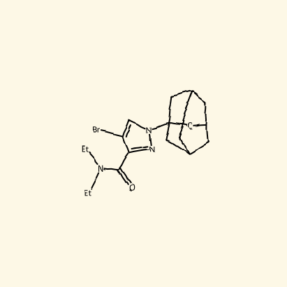 CCN(CC)C(=O)c1nn(C23CC4CC(CC(C4)C2)C3)cc1Br